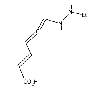 CCNNC=C=C/C=C/C(=O)O